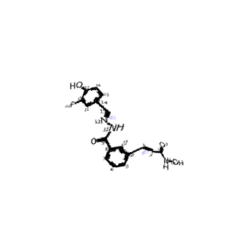 O=C(/C=C/c1cccc(C(=O)N/N=C/c2ccc(O)c(F)c2)c1)NO